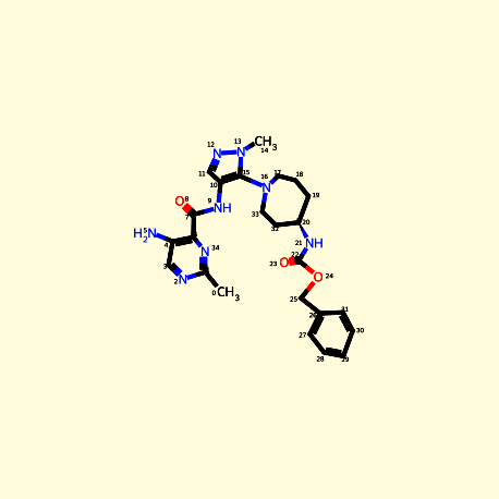 Cc1ncc(N)c(C(=O)Nc2cnn(C)c2N2CCC[C@@H](NC(=O)OCc3ccccc3)CC2)n1